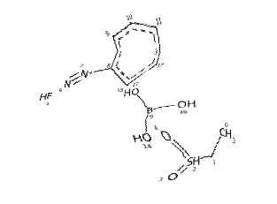 CC[SH](=O)=O.F.N#[N+]c1ccccc1.OB(O)O